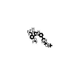 CC(C)(O[Si](C)(C)C(C)(C)C)c1ncc(-c2ccc3nc4n(c3c2)C2CC4NC(C(F)(F)F)c3cccc(OC(F)F)c32)cn1